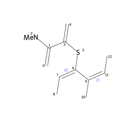 C=C(NC)C(=C)SC(=C/C)/C(C)=C\C